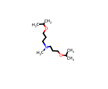 CC(C)OCCCN(C)CCCOC(C)C